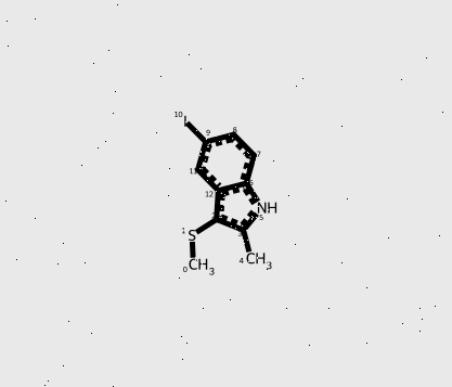 CSc1c(C)[nH]c2ccc(I)cc12